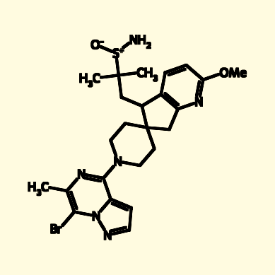 COc1ccc2c(n1)CC1(CCN(c3nc(C)c(Br)n4nccc34)CC1)C2CC(C)(C)[S+](N)[O-]